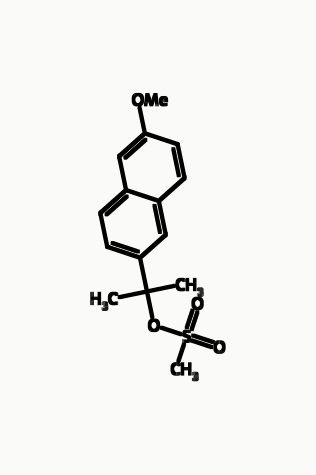 COc1ccc2cc(C(C)(C)OS(C)(=O)=O)ccc2c1